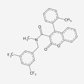 Cc1ccccc1-c1c(C(=O)N(C)Cc2cc(C(F)(F)F)cc(C(F)(F)F)c2)c(=O)oc2ccccc12